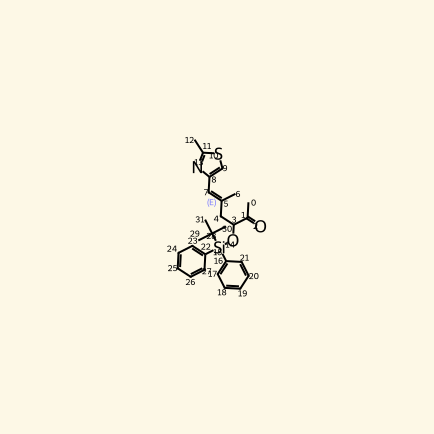 CC(=O)C(C/C(C)=C/c1csc(C)n1)O[Si](c1ccccc1)(c1ccccc1)C(C)(C)C